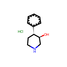 Cl.O[C@H]1CNCC[C@@H]1c1ccccc1